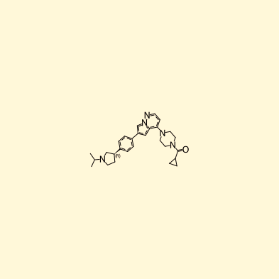 CC(C)N1CC[C@H](c2ccc(-c3cc4c(N5CCN(C(=O)C6CC6)CC5)ccnn4c3)cc2)C1